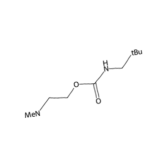 CNCCOC(=O)NCC(C)(C)C